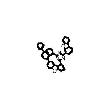 c1ccc(-c2ccc(-c3ccc4oc5cccc(-c6nc(-c7ccccc7)nc(-c7cccc8c7oc7ccccc78)n6)c5c4c3)cc2)cc1